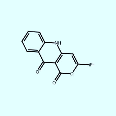 CC(C)c1cc2[nH]c3ccccc3c(=O)c2c(=O)o1